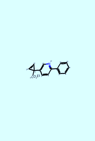 CCOC(=O)C1(c2ccc(-c3ccccc3)nc2)C=C1